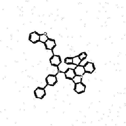 c1ccc(-c2ccc(N(c3ccc(-c4ccc5oc6ccccc6c5c4)cc3)c3cc4c5c(c3)c3ccccc3n5-c3ccccc3C43c4ccccc4-c4ccccc43)cc2)cc1